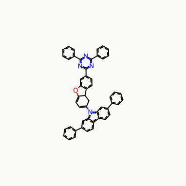 C1=C2Oc3cc(-c4nc(-c5ccccc5)nc(-c5ccccc5)n4)ccc3C2CC(n2c3cc(-c4ccccc4)ccc3c3ccc(-c4ccccc4)cc32)=C1